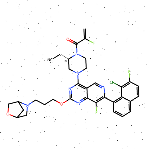 C=C(F)C(=O)N1CCN(c2nc(OCCCN3CC4CC3CO4)nc3c(F)c(-c4cccc5ccc(F)c(Cl)c45)ncc23)C[C@@H]1CC#N